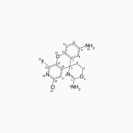 NC1=NC2(CCO1)c1cc(N)ccc1Oc1c2cc(Cl)nc1F